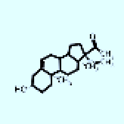 CO[C@]1(C(C)=O)CCC2C3CC=C4C[C@@H](O)CC[C@]4(C)C3CC[C@@]21C